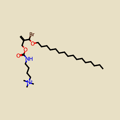 C=C(COC(=O)NCCCC[N+](C)(C)C)C(Br)OCCCCCCCCCCCCCCCC